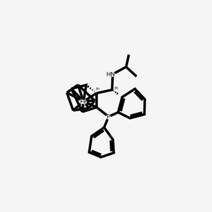 CC(C)N[C@H](C)[C@@]12[CH]3[CH]4[CH]5[C]1(P(c1ccccc1)c1ccccc1)[Fe]45321678[CH]2[CH]1[CH]6[CH]7[CH]28